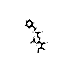 CCC(C)C(=O)[C@H](CCC(=O)OCc1ccccc1)NC(C)=O